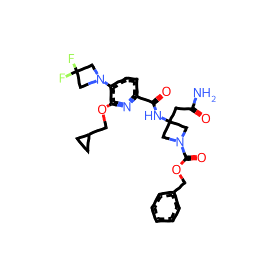 NC(=O)CC1(NC(=O)c2ccc(N3CC(F)(F)C3)c(OCC3CC3)n2)CN(C(=O)OCc2ccccc2)C1